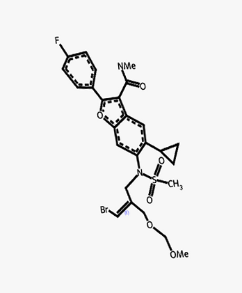 CNC(=O)c1c(-c2ccc(F)cc2)oc2cc(N(C/C(=C\Br)COCOC)S(C)(=O)=O)c(C3CC3)cc12